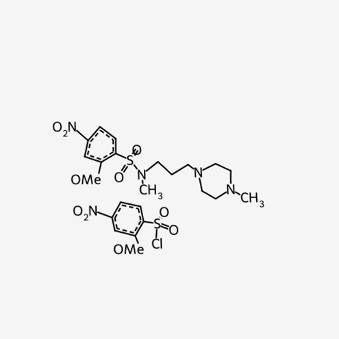 COc1cc([N+](=O)[O-])ccc1S(=O)(=O)Cl.COc1cc([N+](=O)[O-])ccc1S(=O)(=O)N(C)CCCN1CCN(C)CC1